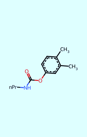 CCCNC(=O)Oc1ccc(C)c(C)c1